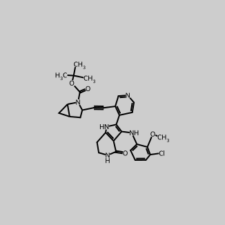 COc1c(Cl)cccc1Nc1c(-c2ccncc2C#CC2CC3CC3N2C(=O)OC(C)(C)C)[nH]c2c1C(=O)NCC2